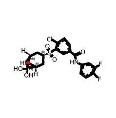 O=C(Nc1ccc(F)c(F)c1)c1ccc(Cl)c(S(=O)(=O)[C@@H]2C[C@H]3C[C@H](O)[C@@H](C2)[C@@]3(O)CO)c1